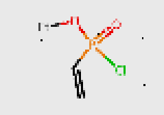 C=CP(=O)(Cl)OCC